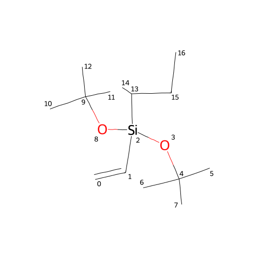 C=C[Si](OC(C)(C)C)(OC(C)(C)C)C(C)CC